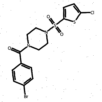 O=C(c1ccc(Br)cc1)N1CCN(S(=O)(=O)c2ccc(Cl)s2)CC1